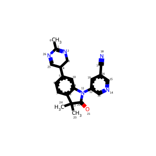 CC1=NCC(c2ccc3c(c2)N(c2cncc(C#N)c2)C(=O)C3(C)C)C=N1